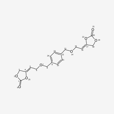 O=C1OC/C(=C/COCc2ccc(COC/C=C3/COC(=O)O3)cc2)O1